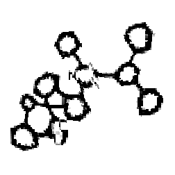 c1ccc(-c2cc(-c3ccccc3)cc(-c3nc(-c4ccccc4)nc(-c4cccc5c4-c4ccccc4C54c5ccccc5-c5ccccc5-c5ccccc54)n3)c2)cc1